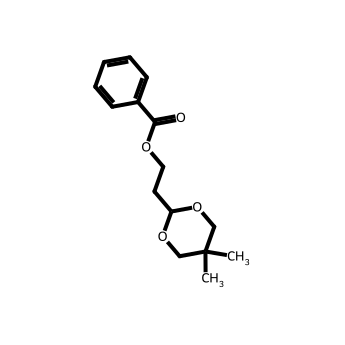 CC1(C)COC(CCOC(=O)c2ccccc2)OC1